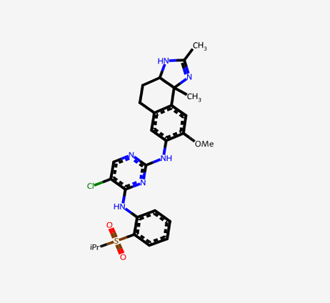 COc1cc2c(cc1Nc1ncc(Cl)c(Nc3ccccc3S(=O)(=O)C(C)C)n1)CCC1NC(C)=NC21C